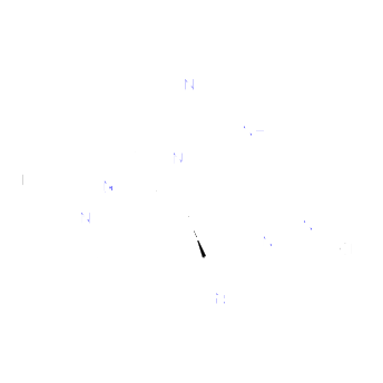 Cn1cc(Nc2nccc(N3C[C@H]4CC[C@@H](C3)N4C[C@@H]3C[C@H]3C#N)n2)cn1